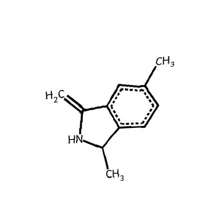 C=C1NC(C)c2ccc(C)cc21